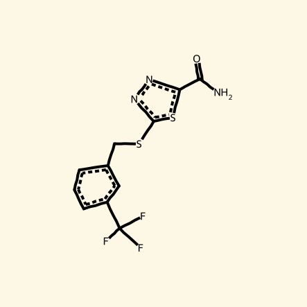 NC(=O)c1nnc(SCc2cccc(C(F)(F)F)c2)s1